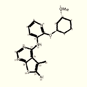 CO[C@@H]1CCC[C@@H](Oc2ncccc2Nc2ncnc3sc(C(C)=O)c(C)c23)C1